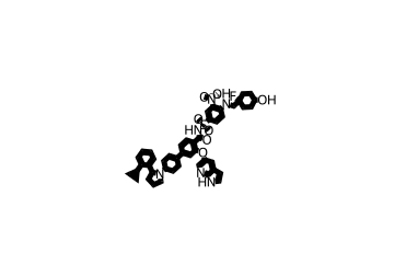 O=C(NS(=O)(=O)c1ccc(NCC2(F)CCC(O)CC2)c([N+](=O)[O-])c1)c1ccc(C2=CCC(N3CCCC3c3ccccc3C3CC3)CC2)cc1Oc1cnc2[nH]ccc2c1